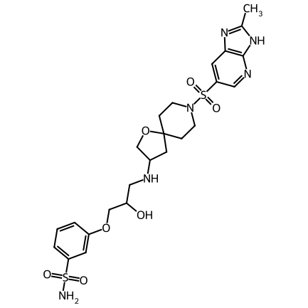 Cc1nc2cc(S(=O)(=O)N3CCC4(CC3)CC(NCC(O)COc3cccc(S(N)(=O)=O)c3)CO4)cnc2[nH]1